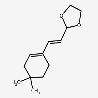 CC1(C)CC=C(/C=C/C2OCCO2)CC1